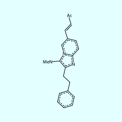 CNc1c(CCc2ccccc2)nc2ccc(/C=C/C(C)=O)cn12